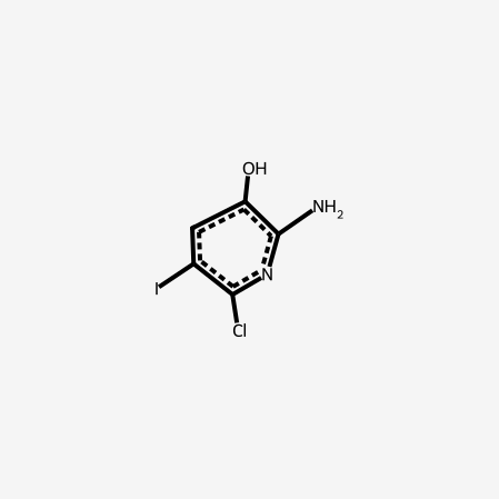 Nc1nc(Cl)c(I)cc1O